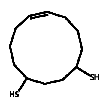 SC1CCC/C=C\CCCC(S)CC1